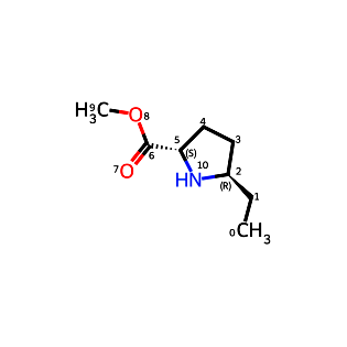 CC[C@@H]1CC[C@@H](C(=O)OC)N1